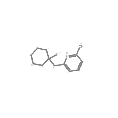 N#Cc1cccc(CC2(F)CCCCC2)n1